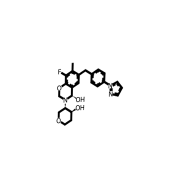 Cc1c(Cc2ccc(-n3cccn3)cc2)cc2c(c1F)OCN([C@H]1COCC[C@@H]1O)[C@H]2O